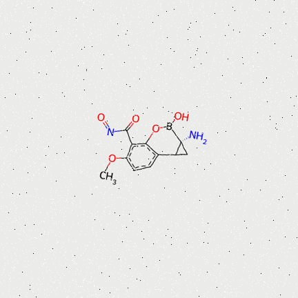 COc1ccc2c(c1C(=O)N=O)OB(O)[C@@]1(N)CC21